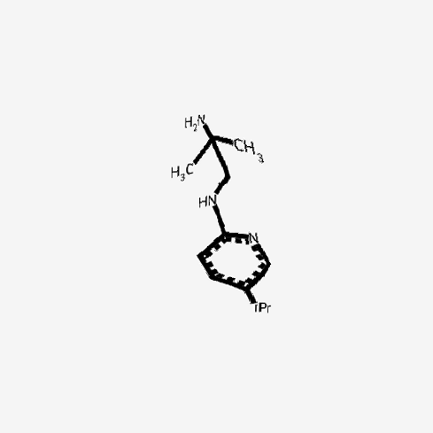 CC(C)c1ccc(NCC(C)(C)N)nc1